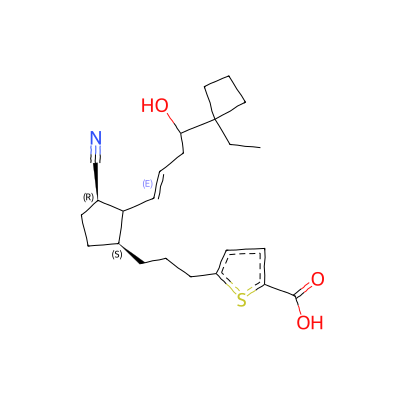 CCC1(C(O)C/C=C/C2[C@@H](CCCc3ccc(C(=O)O)s3)CC[C@H]2C#N)CCC1